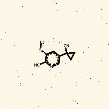 CCSc1cc(C2(C#N)CC2)cnc1C#N